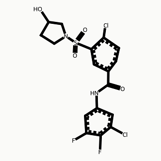 O=C(Nc1cc(F)c(F)c(Cl)c1)c1ccc(Cl)c(S(=O)(=O)N2CCC(O)C2)c1